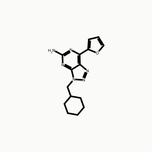 Nc1nc(-c2ccco2)c2nnn(CC3CCCCC3)c2n1